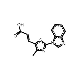 Cc1nc(-n2cnc3ccccc32)sc1C=CC(=O)O